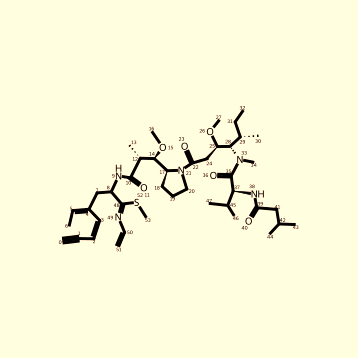 C#C/C=C\C(=C/C)CC(NC(=O)[C@H](C)[C@@H](OC)[C@@H]1CCCN1C(=O)C[C@@H](OC)[C@H]([C@@H](C)CC)N(C)C(=O)[C@@H](NC(=O)CC(C)C)C(C)C)/C(=N/C=C)SC